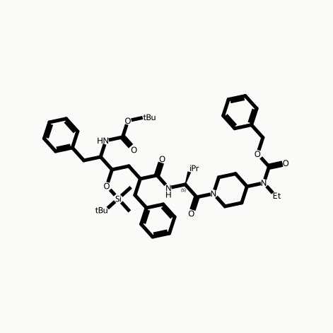 CCN(C(=O)OCc1ccccc1)C1CCN(C(=O)[C@@H](NC(=O)C(Cc2ccccc2)CC(O[Si](C)(C)C(C)(C)C)C(Cc2ccccc2)NC(=O)OC(C)(C)C)C(C)C)CC1